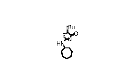 CC(C)(C)C1SC(NC2CCCCCC2)=NC1=O